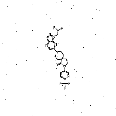 O=C1N(c2ccc(C(F)(F)F)nc2)CCC12CCN(c1cnc3cnn(CC(F)F)c3n1)CC2